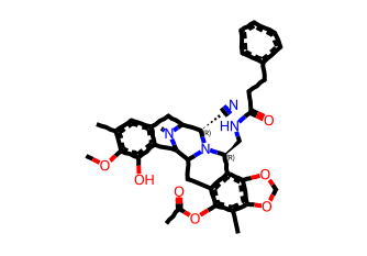 COc1c(C)cc2c(c1O)C1C3Cc4c(OC(C)=O)c(C)c5c(c4[C@H](CNC(=O)CCc4ccccc4)N3[C@@H](C#N)C(C2)N1C)OCO5